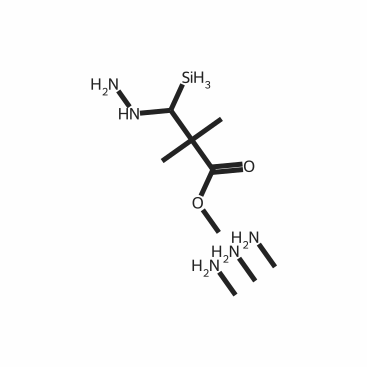 CN.CN.CN.COC(=O)C(C)(C)C([SiH3])NN